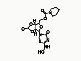 O=C1O[C@@H]2[C@H](O1)[C@@H](COC(=O)N1CCCCC1)O[C@H]2n1ccc(NO)nc1=O